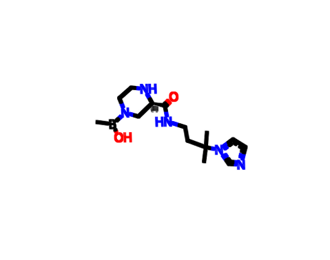 CB(O)N1CCN[C@@H](C(=O)NCCC(C)(C)n2ccnc2)C1